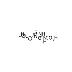 Cc1cn(-c2cccc(-c3csc(NC(=O)CNC(=O)O)n3)c2)cn1